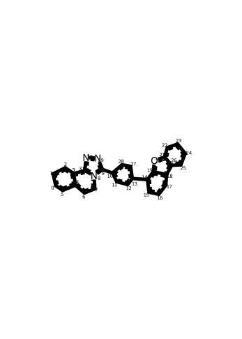 c1ccc2c(c1)ccn1c(-c3ccc(-c4cccc5c4oc4ccccc45)cc3)nnc21